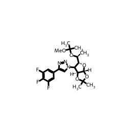 COC(C)(C)O[C@@H](C)[C@@H]1O[C@@H]2OC(C)(C)O[C@H]2C1n1cc(-c2cc(F)c(F)c(F)c2)nn1